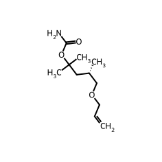 C=CCOC[C@@H](C)CC(C)(C)OC(N)=O